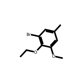 CCOc1c(Br)cc(C)cc1OC